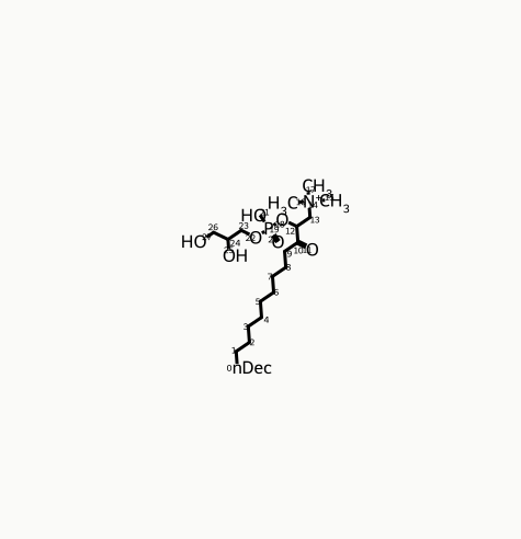 CCCCCCCCCCCCCCCCCCCC(=O)C(C[N+](C)(C)C)OP(=O)(O)OCC(O)CO